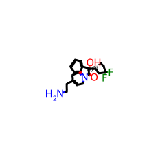 NCCC1=CCN(C(=O)[C@](O)(c2ccccc2)[C@@H]2CCC(F)(F)C2)CC1